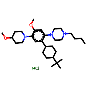 CCCCN1CCN(c2cc(OC)c(N3CCC(OC)CC3)cc2C2CCC(C(C)(C)C)CC2)CC1.Cl